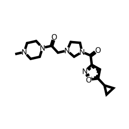 CN1CCN(C(=O)CN2CCN(C(=O)c3cc(C4CC4)on3)C2)CC1